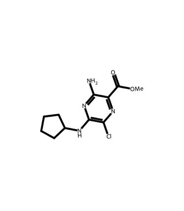 COC(=O)c1nc(Cl)c(NC2CCCC2)nc1N